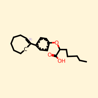 CCCCCC(Oc1ccc(/C2=C/CCCCCC2)cc1)C(=O)O